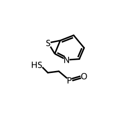 O=PCCS.c1cnc2c(c1)S2